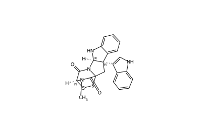 CN1C(=O)C23C[C@]4(c5c[nH]c6ccccc56)c5ccccc5N[C@@H]4N2C(=O)[C@@H]1SS3